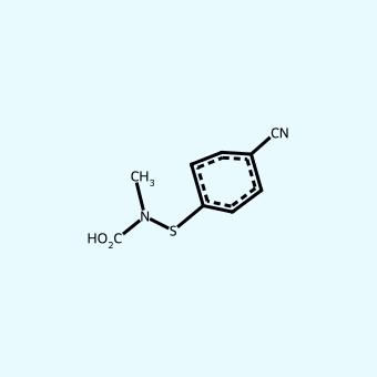 CN(Sc1ccc(C#N)cc1)C(=O)O